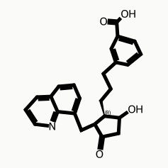 O=C(O)c1cccc(CCC[C@H]2C(O)CC(=O)C2Cc2cccc3cccnc23)c1